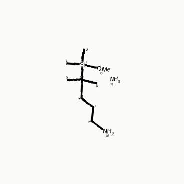 CO[Si](C)(C)C(C)(C)CCCN.N